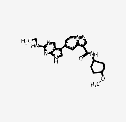 CCNc1ncc2c(-c3ccn4ncc(C(=O)NC5CCC(OC)CC5)c4c3)c[nH]c2n1